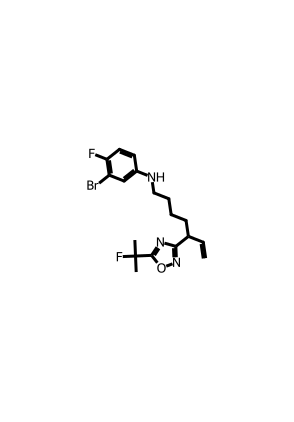 C=CC(CCCCNc1ccc(F)c(Br)c1)c1noc(C(C)(C)F)n1